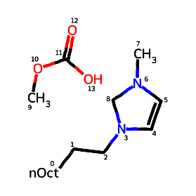 CCCCCCCCCCN1C=CN(C)C1.COC(=O)O